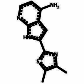 Cc1nc(-c2cc3c(N)ccnc3[nH]2)sc1C